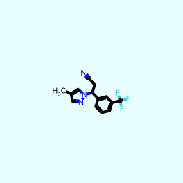 Cc1cnn(C(CC#N)c2cccc(C(F)(F)F)c2)c1